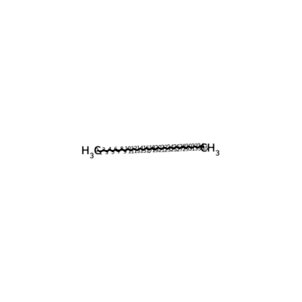 CCCCCC/C=C/CCCCCCCCC[CH]C=CCCCCCCCCCCCCCCCC